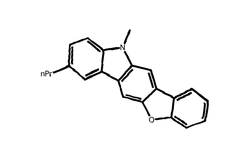 CCCc1ccc2c(c1)c1cc3oc4ccccc4c3cc1n2C